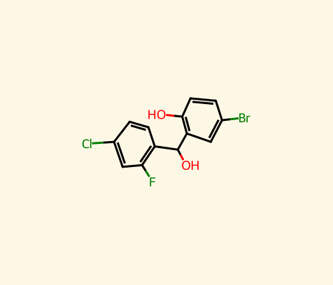 Oc1ccc(Br)cc1C(O)c1ccc(Cl)cc1F